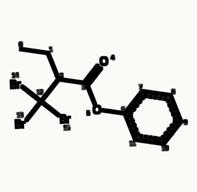 CCC(C(=O)Oc1ccccc1)C(Br)(Br)Br